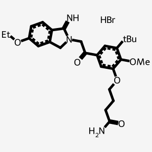 Br.CCOc1ccc2c(c1)CN(CC(=O)c1cc(OCCCC(N)=O)c(OC)c(C(C)(C)C)c1)C2=N